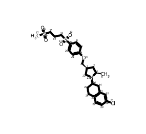 C[C@@H]1C[C@H](COc2ccc(S(=O)(=O)CCCS(C)(=O)=O)cc2)CN1C1CCc2ccc(Cl)cc2C1